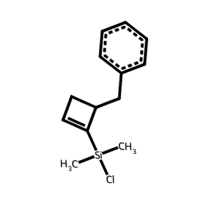 C[Si](C)(Cl)C1=CCC1Cc1ccccc1